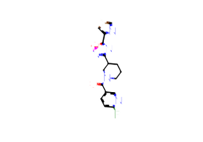 O=C(c1ccc(F)nc1)N1CCCC(c2noc(-c3cscn3)n2)C1